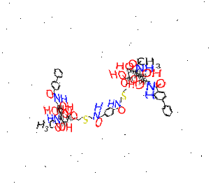 CC(=O)N[C@H]1[C@H]([C@H](O)[C@H](O)CNC(=O)c2ccc(-c3ccccc3)cc2)O[C@@](CCCCSCCNC(=O)c2ccc(C(=O)NCCSCCCC[C@]3(C(=O)O)C[C@H](O)[C@@H](NC(C)=O)[C@H]([C@H](O)[C@H](O)CNC(=O)c4ccc(-c5ccccc5)cc4)O3)cc2)(C(=O)O)C[C@@H]1O